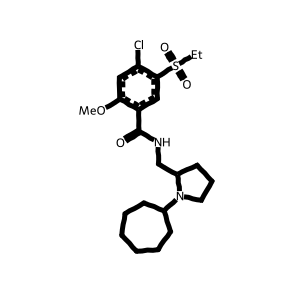 CCS(=O)(=O)c1cc(C(=O)NCC2CCCN2C2CCCCCC2)c(OC)cc1Cl